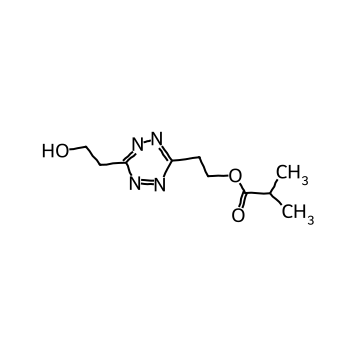 CC(C)C(=O)OCCc1nnc(CCO)nn1